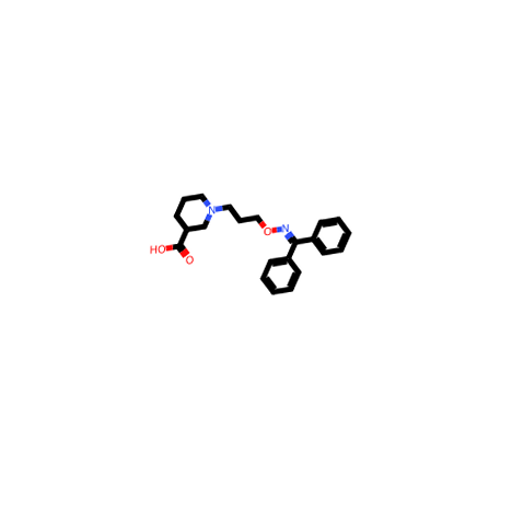 O=C(O)C1CCCN(CCCON=C(c2ccccc2)c2ccccc2)C1